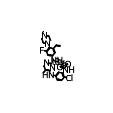 C=Cc1cc(Nc2ncc(C)c(Nc3ccc(Cl)c(NS(=O)(=O)C(C)(C)C)c3)n2)cc(F)c1N1CCN(C)CC1